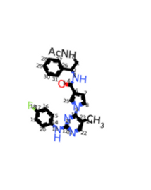 CC(=O)NCC(NC(=O)c1ccn(-c2nc(Nc3ccc(F)cc3)ncc2C)c1)c1ccccc1